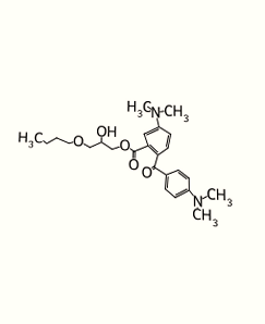 CCCCOCC(O)COC(=O)c1cc(N(C)C)ccc1C(=O)c1ccc(N(C)C)cc1